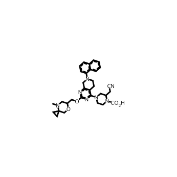 CN1CC(COc2nc3c(c(N4CCN(C(=O)O)C(CC#N)C4)n2)CCN(c2cccc4ccccc24)C3)OCC12CC2